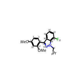 COc1ccc(-c2nn(CC(C)C)c3c(F)cccc23)c(OC)c1